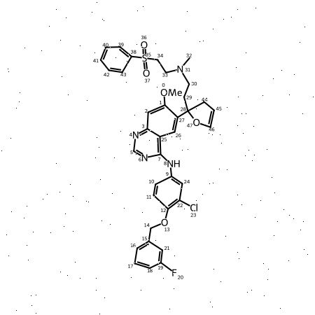 COc1cc2ncnc(Nc3ccc(OCc4cccc(F)c4)c(Cl)c3)c2cc1C1(CCN(C)CCS(=O)(=O)c2ccccc2)CC=CO1